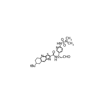 CN(C)S(=O)(=O)Nc1ccc([C@@H](CC=O)NC(=O)c2nc3cc4c(nc3s2)CCC(C(C)(C)C)C4)cn1